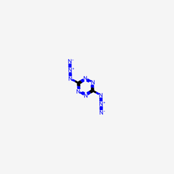 [N-]=[N+]=Nc1nnc(N=[N+]=[N-])nn1